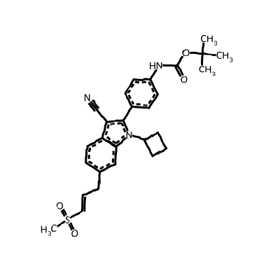 CC(C)(C)OC(=O)Nc1ccc(-c2c(C#N)c3ccc(C/C=C/S(C)(=O)=O)cc3n2C2CCC2)cc1